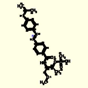 COC[C@@H](NC(=O)c1ccc(/N=N/c2ccc(SC(C)C)cc2)cc1)[C@@H](C)OP(C)(=O)O